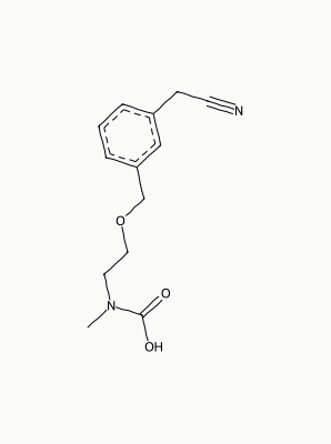 CN(CCOCc1cccc(CC#N)c1)C(=O)O